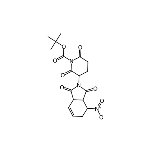 CC(C)(C)OC(=O)N1C(=O)CCC(N2C(=O)C3C=CCC([N+](=O)[O-])C3C2=O)C1=O